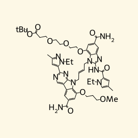 CCn1cc(C)cc1C(=O)Nc1nc2cc(C(N)=O)cc(OCCOCCOCCC(=O)OC(C)(C)C)c2n1C/C=C/Cn1c2nc(-c3cc(C)nn3CC)ncc2c2cc(C(N)=O)cc(OCCCOC)c21